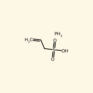 C=CCS(=O)(=O)O.P